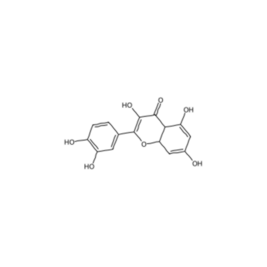 O=C1C(O)=C(c2ccc(O)c(O)c2)OC2C=C(O)C=C(O)C12